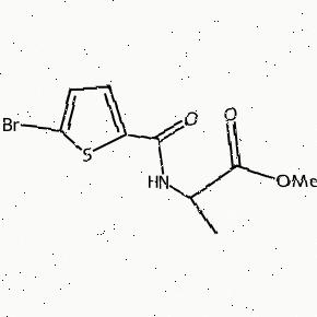 COC(=O)C(C)NC(=O)c1ccc(Br)s1